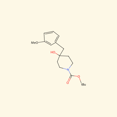 COc1cccc(CC2(O)CCN(C(=O)OC(C)(C)C)CC2)c1